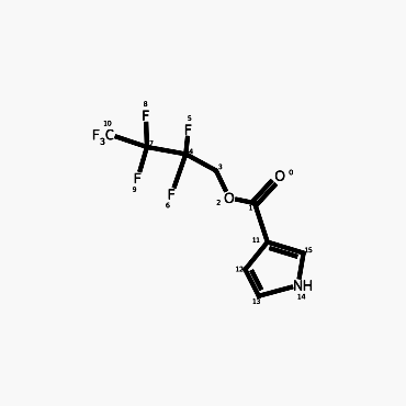 O=C(OCC(F)(F)C(F)(F)C(F)(F)F)c1cc[nH]c1